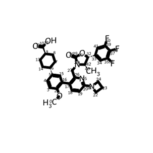 COc1ccc([C@H]2CC[C@H](C(=O)O)CC2)cc1-c1ccc(N2CCC2)nc1CN1C(=O)O[C@H](c2cc(F)c(F)c(F)c2)[C@@H]1C